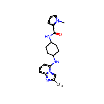 Cn1cccc1C(=O)NC1CCC(Nc2cccc3nc(C(F)(F)F)cn23)CC1